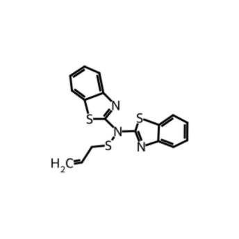 C=CCSN(c1nc2ccccc2s1)c1nc2ccccc2s1